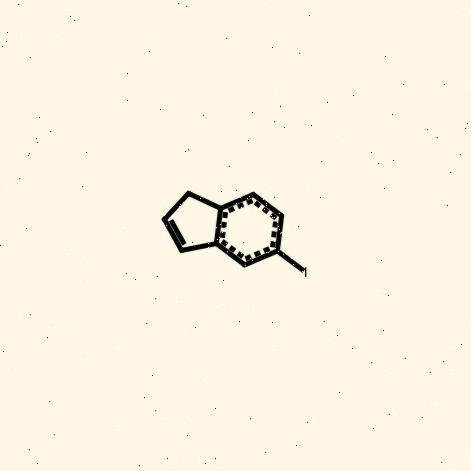 Ic1ccc2c(c1)C=CC2